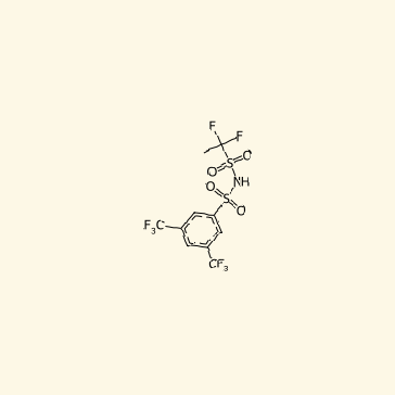 CC(F)(F)S(=O)(=O)NS(=O)(=O)c1cc(C(F)(F)F)cc(C(F)(F)F)c1